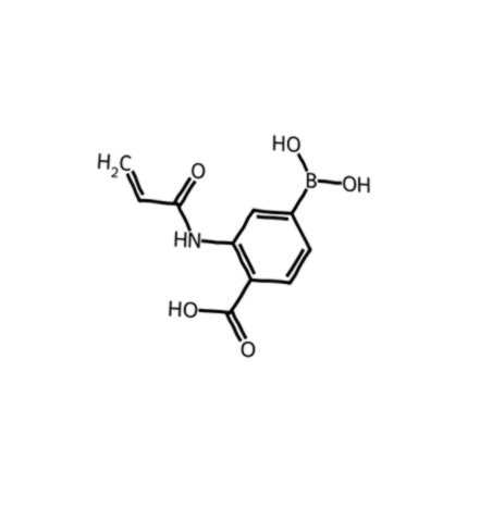 C=CC(=O)Nc1cc(B(O)O)ccc1C(=O)O